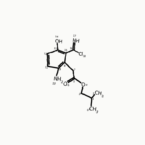 CC(C)COC(=O)Cc1c(N)ccc(O)c1C(=N)Cl